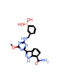 COc1nc(NCc2cccc(B(O)O)c2)nc(-c2n[nH]c3c(C(N)=O)cccc23)n1